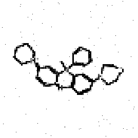 C[Si]1(c2ccccc2)C2=CC(=[N+]3CCCCC3)C=CC2=Nc2ccc(N3CCOCC3)cc21